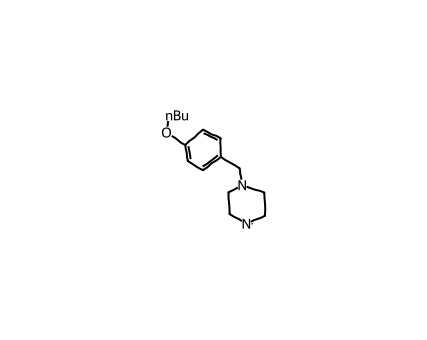 CCCCOc1ccc(CN2CC[N]CC2)cc1